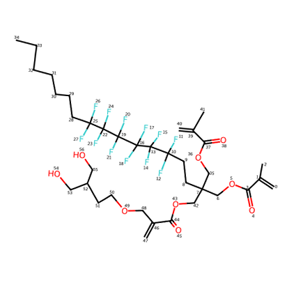 C=C(C)C(=O)OCC(CCC(F)(F)C(F)(F)C(F)(F)C(F)(F)C(F)(F)C(F)(F)CCCCCCC)(COC(=O)C(=C)C)COC(=O)C(=C)COCCC(CO)CO